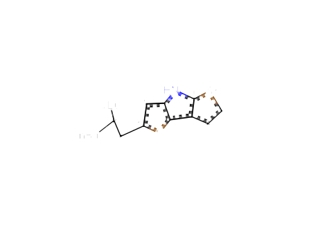 CCCCC(CC)Cc1cc2[nH]c3sccc3c2s1